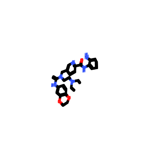 C=C(Nc1ccc2c(c1)OCCO2)N(CCN(CC)CC)Cc1ccc(C(=O)Nc2ccccc2N)nc1